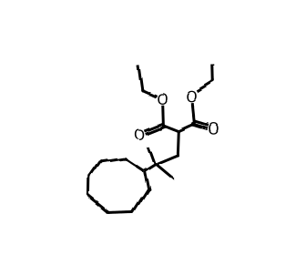 CCOC(=O)C(CC(C)(C)C1CCCCCCC1)C(=O)OCC